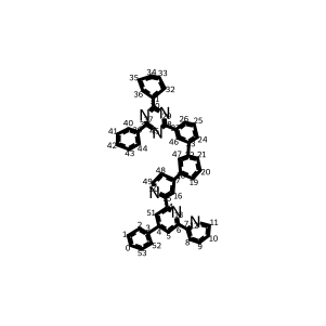 c1ccc(-c2cc(-c3ccccn3)nc(-c3cc(-c4cccc(-c5cccc(-c6nc(-c7ccccc7)nc(-c7ccccc7)n6)c5)c4)ccn3)c2)cc1